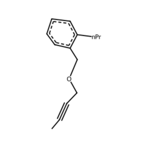 CC#CCOCc1ccccc1CCC